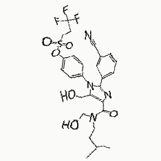 CC(C)CCN(CO)C(=O)c1nc(-c2cccc(C#N)c2)n(-c2ccc(OS(=O)(=O)CCC(F)(F)F)cc2)c1CO